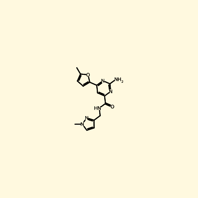 Cc1ccc(-c2cc(C(=O)NCc3ccn(C)n3)nc(N)n2)o1